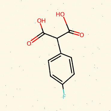 O=C(O)C(C(=O)O)c1ccc(F)cc1